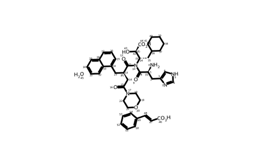 N[C@@H](Cc1c[nH]cn1)C(=O)N(C(=O)[C@@H](CC(=O)N1CCOCC1)Cc1cccc2ccccc12)[C@@H](CC1CCCCC1)[C@@H](O)C(=O)O.O.O=C(O)C=Cc1ccccc1